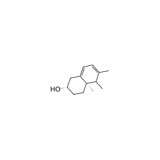 CC1=CC=C2C[C@@H](O)CC[C@]2(C)C1C